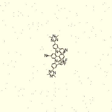 Cc1nc(C)nc(-c2ccc3c(c2)c2ccccc2n3-c2cc(C#N)cc(-n3c4ccccc4c4cc(-c5nc(C)nc(C)n5)ccc43)c2-c2cc(C#N)cc(C(F)(F)F)c2)n1